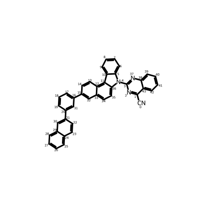 N#Cc1nc(-n2c3ccccc3c3c4ccc(-c5cccc(-c6ccc7ccccc7c6)c5)cc4ccc32)nc2ccccc12